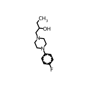 CCC(O)CN1CCN(c2ccc(F)cc2)CC1